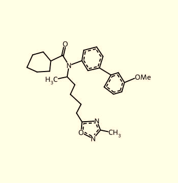 COc1cccc(-c2cccc(N(C(=O)C3CCCCC3)C(C)CCCCc3nc(C)no3)c2)c1